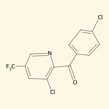 O=C(c1ccc(Cl)cc1)c1ncc(C(F)(F)F)cc1Cl